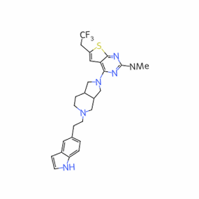 CNc1nc(N2CC3CCN(CCc4ccc5[nH]ccc5c4)CC3C2)c2cc(CC(F)(F)F)sc2n1